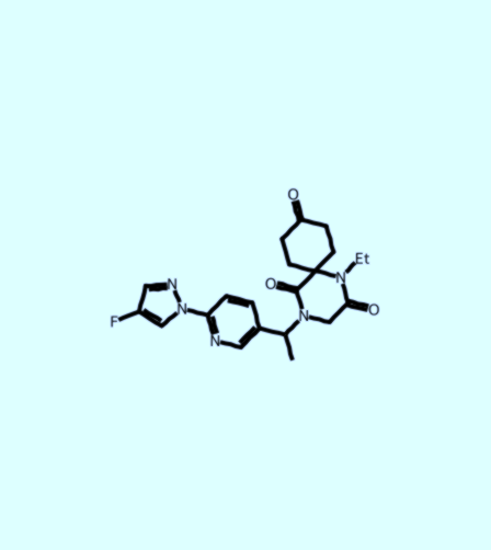 CCN1C(=O)CN(C(C)c2ccc(-n3cc(F)cn3)nc2)C(=O)C12CCC(=O)CC2